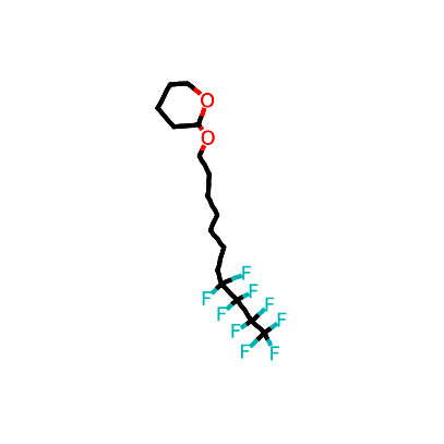 FC(F)(F)C(F)(F)C(F)(F)C(F)(F)CCCCCCCOC1CCCCO1